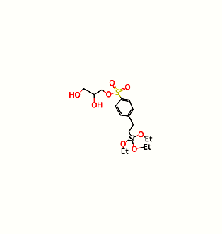 CCO[Si](CCc1ccc(S(=O)(=O)OCC(O)CO)cc1)(OCC)OCC